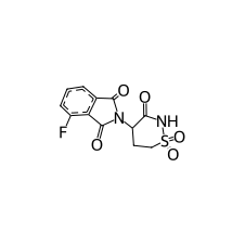 O=C1NS(=O)(=O)CCC1N1C(=O)c2cccc(F)c2C1=O